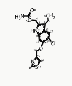 CCc1c(COC(N)=O)[nH]c2cc(OCc3cscn3)c(Cl)cc12